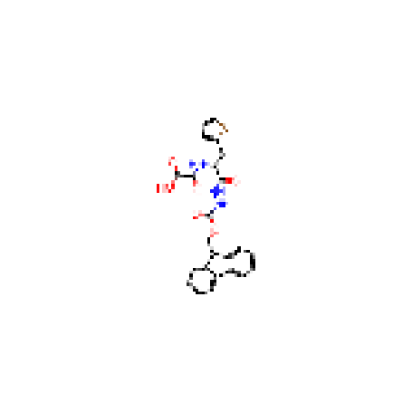 O=C(NNC(=O)C(Cc1cccs1)NC(=O)C(=O)O)OCC1c2ccccc2-c2ccccc21